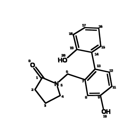 O=C1CCCN1Cc1cc(O)ccc1-c1ccccc1O